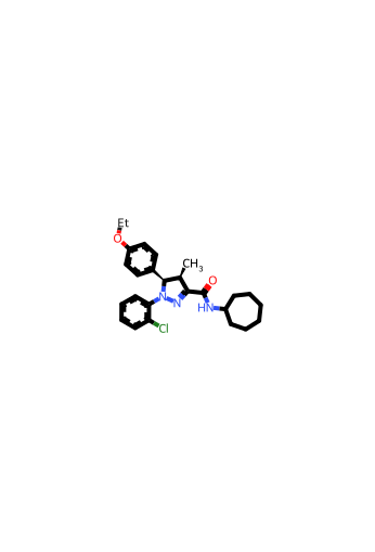 CCOc1ccc([C@H]2[C@@H](C)C(C(=O)NC3CCCCCC3)=NN2c2ccccc2Cl)cc1